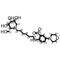 O=[N+]([O-])c1cc(N2CCOCC2)ccc1NCCCCCCN1C[C@H](O)[C@@H](O)[C@H](O)[C@H]1CO